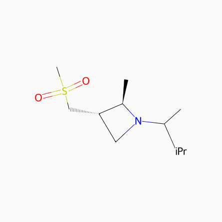 CC(C)C(C)N1C[C@H](CS(C)(=O)=O)[C@H]1C